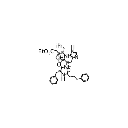 CCOC(=O)C[C@H](O)[C@H](CC(C)C)NC(=O)[C@@H](Cc1c[nH]cn1)NC(=O)[C@H](Cc1ccccc1)NC(=O)CCCc1ccccc1